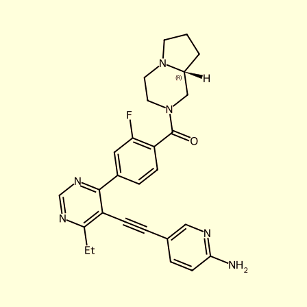 CCc1ncnc(-c2ccc(C(=O)N3CCN4CCC[C@@H]4C3)c(F)c2)c1C#Cc1ccc(N)nc1